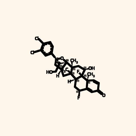 C[C@]12C[C@H](O)[C@@]3(F)[C@@H](C[C@H](F)C4=CC(=O)C=C[C@@]43C)[C@]1(C)C[C@H]1CN(c3ccc(Cl)c(Cl)c3)O[C@]12C(=O)CO